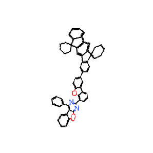 C1=CCC2C(=C1)c1cc3c(cc1C21CCCCC1)-c1cc(-c2ccc4oc5c(-c6nc(-c7ccccc7)c7c8c(oc7n6)=CCCC=8)cccc5c4c2)ccc1C31CCCCC1